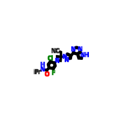 CC(C)NC(=O)c1cc(Cl)c(N2CC(CC#N)(n3cc(-c4ncnc5[nH]ccc45)cn3)C2)cc1F